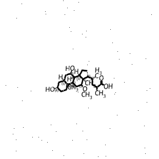 CO[C@H]1C[C@H]2[C@@H]([C@H](O)C[C@@H]3C[C@H](O)CC[C@@]32C)[C@@H]2CC[C@H]([C@H](C)CC(C)C(=O)O)[C@@]12C